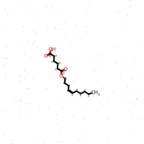 CCCCC/C=C\CCCOC(=O)CCCCC(=O)O